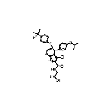 CC(C)Oc1ccc(-c2c(Oc3ccc(C(F)(F)F)cc3)ccc3[nH]c(C(=O)NCC(=O)O)c(Cl)c23)cc1